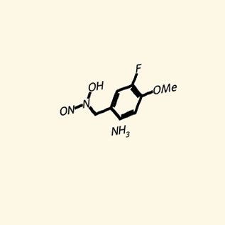 COc1ccc(CN(O)N=O)cc1F.N